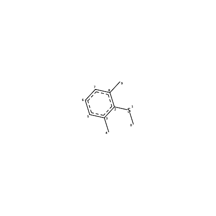 CSc1c(C)c[c]cc1C